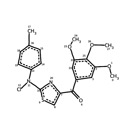 COc1cc(C(=O)c2csc(N(Cl)c3ccc(C)cc3)n2)cc(OC)c1OC